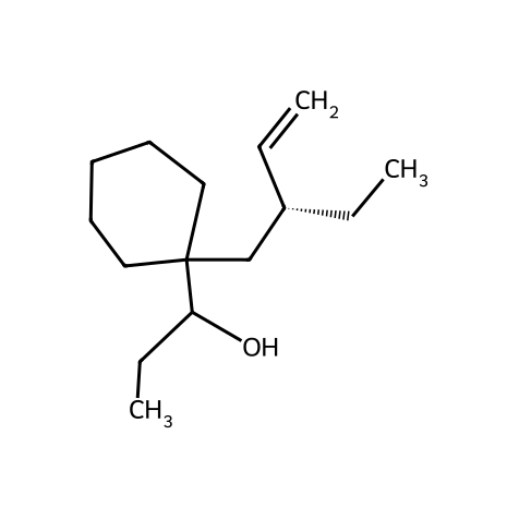 C=C[C@H](CC)CC1(C(O)CC)CCCCC1